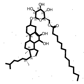 CCCCCCCCCCCCCC(=O)OC[C@H]1O[C@H](OC2CC[C@@]3(C)C(=C(O)C(O)C4C3CC[C@@]3(C)C4CC[C@@H]3[C@H](C)CCCC(C)C)C2)[C@@H](O)[C@@H](O)[C@@H]1O